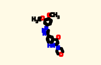 COc1ccc(-n2cc(-c3ccc4[nH]c(N5CCOCC5)cc(=O)c4c3)nn2)cc1OC